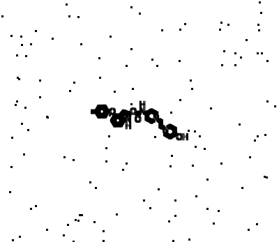 Cc1ccc(Oc2cccc3[nH]c(OC(=O)NC4CCN(CCN5CCC(O)CC5)CC4)cc23)cc1